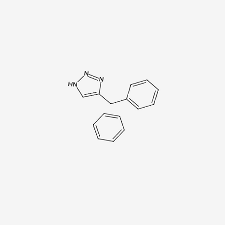 c1ccc(Cc2c[nH]nn2)cc1.c1ccccc1